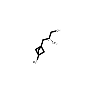 CC12CC(C[C@@H](N)CO)(C1)C2